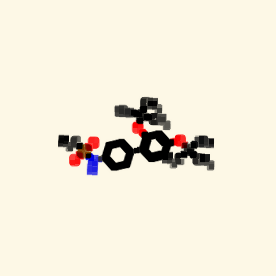 CC(C)(C)[Si](C)(C)Oc1ccc([C@H]2CC[C@@H](NS(C)(=O)=O)CC2)c(O[Si](C)(C)C(C)(C)C)c1